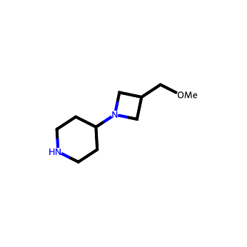 COCC1CN(C2CCNCC2)C1